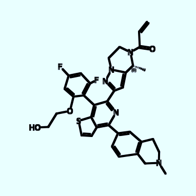 C=CC(=O)N1CCn2nc(-c3nc(-c4ccc5c(c4)CCN(C)C5)c4ccsc4c3-c3c(F)cc(F)cc3OCCO)cc2[C@H]1C